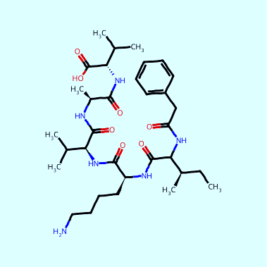 CC[C@@H](C)C(NC(=O)Cc1ccccc1)C(=O)N[C@@H](CCCCN)C(=O)N[C@H](C(=O)N[C@@H](C)C(=O)N[C@H](C(=O)O)C(C)C)C(C)C